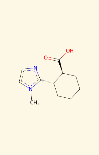 Cn1ccnc1[C@H]1CCCC[C@@H]1C(=O)O